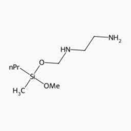 CCC[Si](C)(OC)OCNCCN